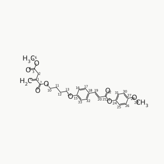 C=C(CC(=O)OC)C(=O)OCCCCOc1ccc(/C=C/C(=O)Oc2ccc(OC)cc2)cc1